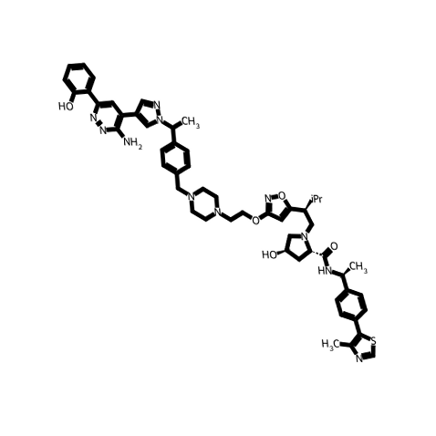 Cc1ncsc1-c1ccc([C@H](C)NC(=O)[C@@H]2C[C@@H](O)CN2C[C@@H](c2cc(OCCN3CCN(Cc4ccc(C(C)n5cc(-c6cc(-c7ccccc7O)nnc6N)cn5)cc4)CC3)no2)C(C)C)cc1